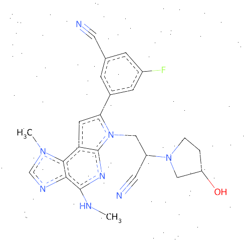 CNc1nc2c(cc(-c3cc(F)cc(C#N)c3)n2CC(C#N)N2CCC(O)C2)c2c1ncn2C